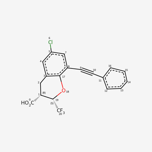 O=C(O)[C@@H]1Cc2cc(Cl)cc(C#Cc3ccccc3)c2O[C@@H]1C(F)(F)F